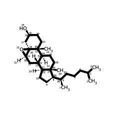 CC(C)CCC[C@@H](C)[C@H]1CC[C@H]2[C@@H]3C[C@H]4O[C@]45C[C@@H](O)CC[C@]5(C)[C@H]3CC[C@]12C